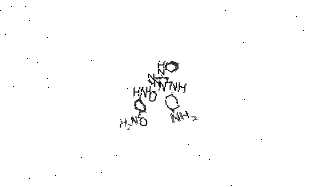 NC(=O)c1ccc(NC(=O)c2cnc3c(Nc4ccccc4)cc(N[C@H]4CC[C@H](N)CC4)nn23)cc1